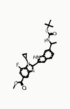 COC(=O)c1cc(F)c2c(c1)nc(-c1cc3ccc(C(C)NC(=O)OC(C)(C)C)cc3[nH]1)n2C1CC1